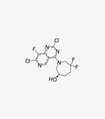 O[C@@H]1CCC(F)(F)CN(c2nc(Cl)nc3c(F)c(Cl)ncc23)C1